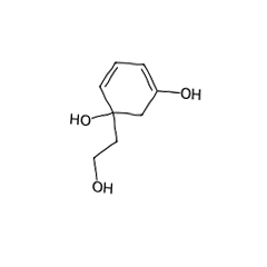 OCCC1(O)C=CC=C(O)C1